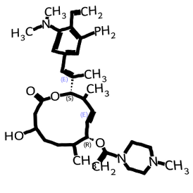 C=Cc1c(P)cc(/C=C(\C)[C@H]2OC(=O)CC(O)CCC(C)[C@@H](OC(=C)N3CCN(C)CC3)/C=C/C2C)cc1N(C)C